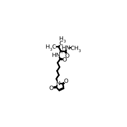 CNC(=O)[C@@H](NC(=O)CCCCCN1C(=O)C=CC1=O)C(C)C